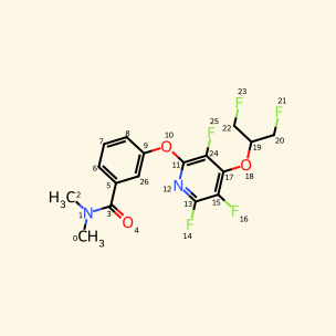 CN(C)C(=O)c1cccc(Oc2nc(F)c(F)c(OC(CF)CF)c2F)c1